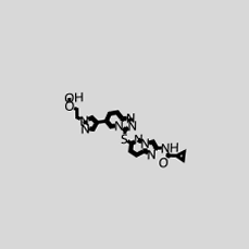 O=C(Nc1cn2nc(Sc3nnc4ccc(-c5cnn(CCOO)c5)cn34)ccc2n1)C1CC1